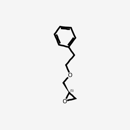 c1ccc(CCOC[C@H]2CO2)cc1